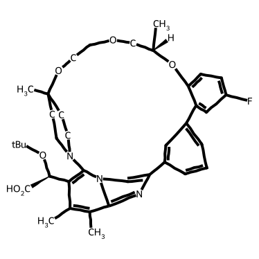 Cc1c([C@H](OC(C)(C)C)C(=O)O)c2n3cc(nc3c1C)-c1cccc(c1)-c1cc(F)ccc1O[C@@H](C)COCCOC1(C)CCN2CC1